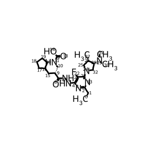 CCc1nc(NNC(=O)[C@@H](CNC(=O)O)CC2CCCC2)c(F)c(N2C[C@@H](C)[C@H](N(C)C)C2)n1